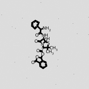 CC1(C)S[C@@H]2[C@H](NC(=O)C(N)c3ccccc3)C(=O)N2[C@H]1C(=O)OC1OC(=O)c2ccccc21